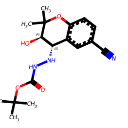 CC(C)(C)OC(=O)NN[C@H]1c2cc(C#N)ccc2OC(C)(C)[C@@H]1O